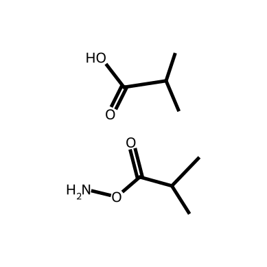 CC(C)C(=O)O.CC(C)C(=O)ON